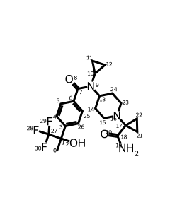 CC(O)(c1ccc(C(=O)N(C2CC2)C2CCN(C3(C(N)=O)CC3)CC2)cc1)C(F)(F)F